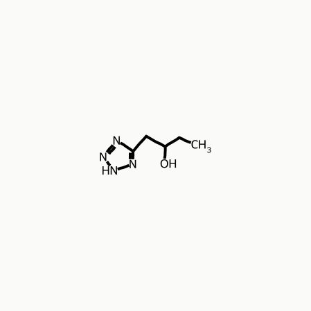 CCC(O)Cc1nn[nH]n1